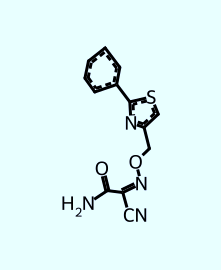 N#CC(=NOCc1csc(-c2ccccc2)n1)C(N)=O